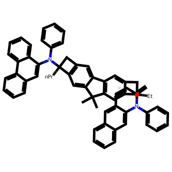 C=C/C=C\c1cc2ccccc2cc1N(c1ccccc1)C1(CC)Cc2cc3c(cc21)C(C)(C)c1cc2c(cc1-3)CC2(CCC)N(c1ccccc1)c1cc2ccccc2c2ccccc12